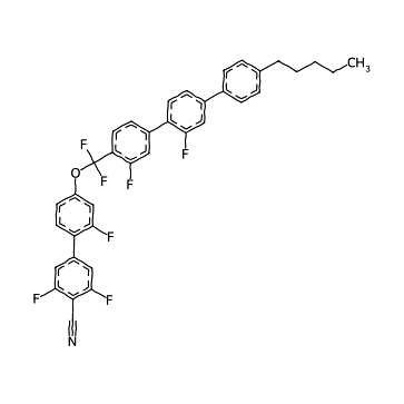 CCCCCc1ccc(-c2ccc(-c3ccc(C(F)(F)Oc4ccc(-c5cc(F)c(C#N)c(F)c5)c(F)c4)c(F)c3)c(F)c2)cc1